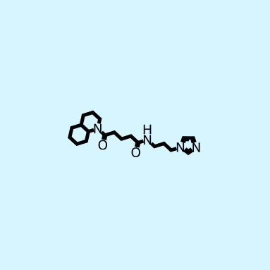 O=C(CCCC(=O)N1CCCC2CCCCC21)NCCCn1ccnc1